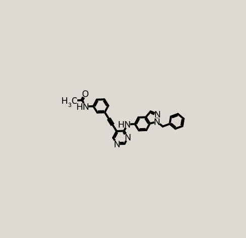 CC(=O)Nc1cccc(C#Cc2cncnc2Nc2ccc3c(cnn3Cc3ccccc3)c2)c1